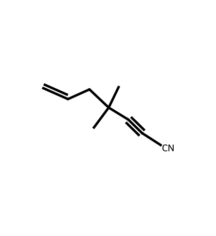 C=CCC(C)(C)C#CC#N